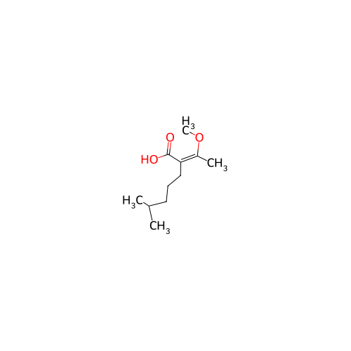 COC(C)=C(CCCC(C)C)C(=O)O